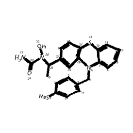 CSc1ccc(CN2c3ccccc3Sc3ccc(C(C)N(O)C(N)=O)cc32)cc1